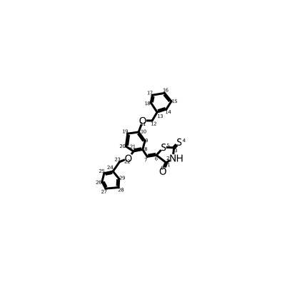 O=C1NC(=S)S/C1=C\c1cc(OCc2ccccc2)ccc1OCc1ccccc1